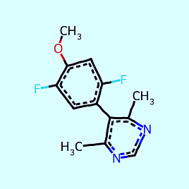 COc1cc(F)c(-c2c(C)ncnc2C)cc1F